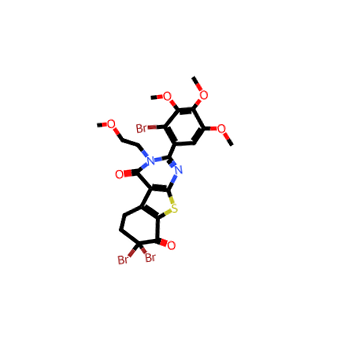 COCCn1c(-c2cc(OC)c(OC)c(OC)c2Br)nc2sc3c(c2c1=O)CCC(Br)(Br)C3=O